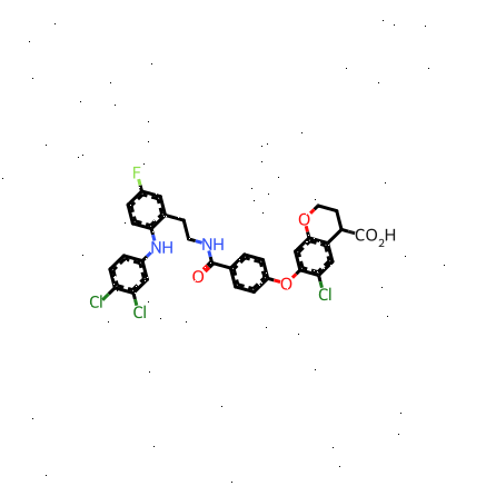 O=C(NCCc1cc(F)ccc1Nc1ccc(Cl)c(Cl)c1)c1ccc(Oc2cc3c(cc2Cl)C(C(=O)O)CCO3)cc1